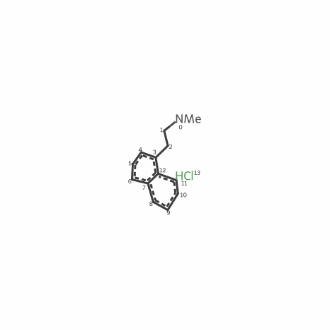 CNCCc1cccc2ccccc12.Cl